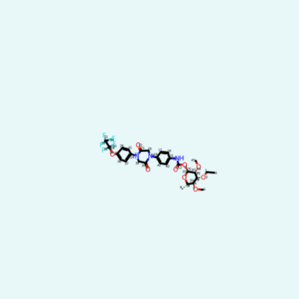 CCO[C@@H]1[C@@H](OC)[C@H](C)O[C@@H](OC(=O)Nc2ccc(N3CC(=O)N(c4ccc(OC(F)(F)C(F)(F)F)cc4)CC3=O)cc2)[C@@H]1OC